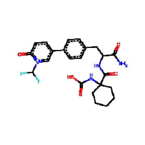 NC(=O)C(Cc1ccc(-c2ccc(=O)n(C(F)F)c2)cc1)NC(=O)C1(NC(=O)O)CCCCC1